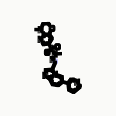 CN1CCOc2cc(S(=O)(=O)N(C)/N=C/c3cnc4ccc(-c5cccnc5)cn34)cnc21